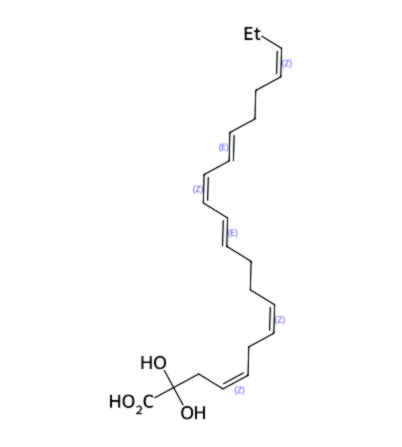 CC/C=C\CC/C=C/C=C\C=C\CC/C=C\C/C=C\CC(O)(O)C(=O)O